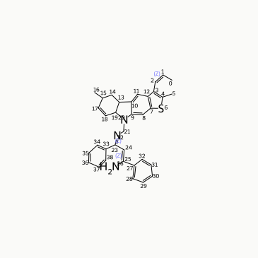 C/C=C\c1c(C)sc2cc3c(cc12)C1CC(C)C=CC1N3C/N=C(\C=C(/N)c1ccccc1)c1ccccc1